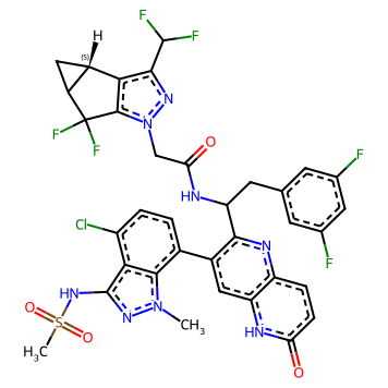 Cn1nc(NS(C)(=O)=O)c2c(Cl)ccc(-c3cc4[nH]c(=O)ccc4nc3C(Cc3cc(F)cc(F)c3)NC(=O)Cn3nc(C(F)F)c4c3C(F)(F)C3C[C@H]43)c21